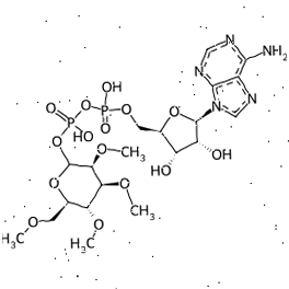 COC[C@H]1OC(OP(=O)(O)OP(=O)(O)OC[C@H]2O[C@@H](n3cnc4c(N)ncnc43)[C@H](O)[C@@H]2O)[C@@H](OC)[C@@H](OC)[C@@H]1OC